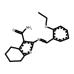 CCOc1ccccc1C=Nc1sc2c(c1C(N)=O)CCCC2